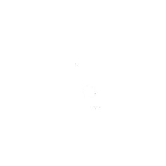 CCCN(C)CC1Cc2cc(OC)ccc2O1